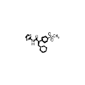 CS(=O)(=O)c1ccc(/C(=C\C2CCCCC2)C(=O)Nc2nccs2)cc1